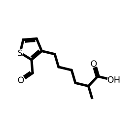 CC(CCCCc1ccsc1C=O)C(=O)O